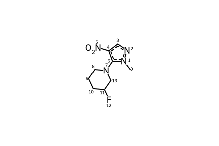 Cn1ncc([N+](=O)[O-])c1N1CCCC(F)C1